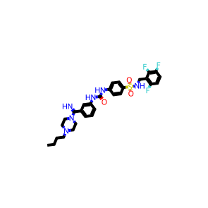 CCCCN1CCN(C(=N)c2cccc(NC(=O)Nc3ccc(S(=O)(=O)NCc4c(F)ccc(F)c4F)cc3)c2)CC1